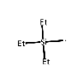 [CH2][Si](CC)(CC)CC